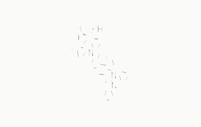 CC1(C)c2ccccc2-c2c(N(c3ccc(F)cc3)c3ccc4ccc5c(N(c6ccccc6)c6ccc7ccccc7n6)ccc6ccc3c4c65)cccc21